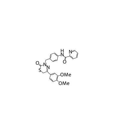 COc1ccc(C2=NN(Cc3ccc(NC(=O)c4ccccn4)cc3)C(=O)SC2)cc1OC